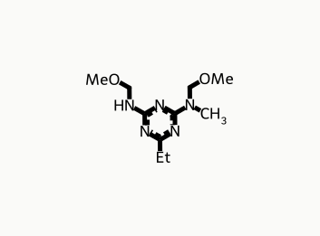 CCc1nc(NCOC)nc(N(C)COC)n1